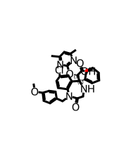 COc1ccc(CN2C(=O)CN[C@](c3ccccc3)([C@H](Oc3nc(C)cc(C)n3)C(=O)O)c3cc(Cl)ccc32)cc1